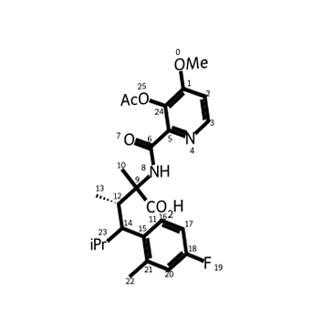 COc1ccnc(C(=O)NC(C)(C(=O)O)[C@@H](C)C(c2ccc(F)cc2C)C(C)C)c1OC(C)=O